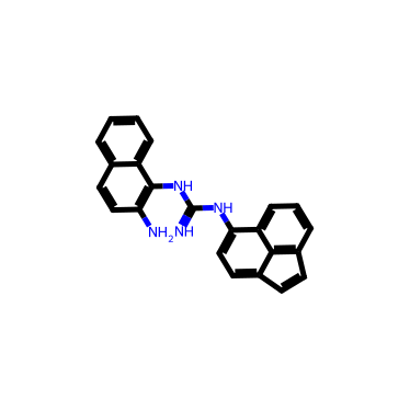 N=C(Nc1c(N)ccc2ccccc12)Nc1ccc2c3c(cccc13)C=C2